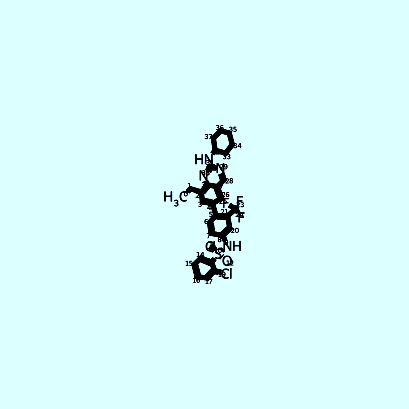 CCc1cc(-c2ccc(NS(=O)(=O)c3ccccc3Cl)cc2C(F)(F)F)cc2cnc(NC3CCCCC3)nc12